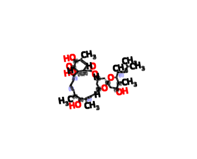 CC1=C[C@H]2C(=O)O[C@H]3C[C@@H](C/C=C(\C)[C@@H](O)[C@@H](C)/C=C/C=C4\CO[C@H]([C@@H]1O)[C@@]42O)O[C@]1(C3)C[C@H](O)[C@H](C)C(/C(C)=C/C(C)C)O1